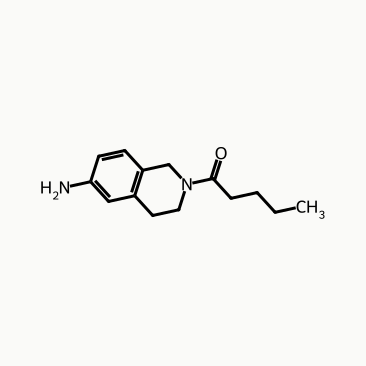 CCCCC(=O)N1CCc2cc(N)ccc2C1